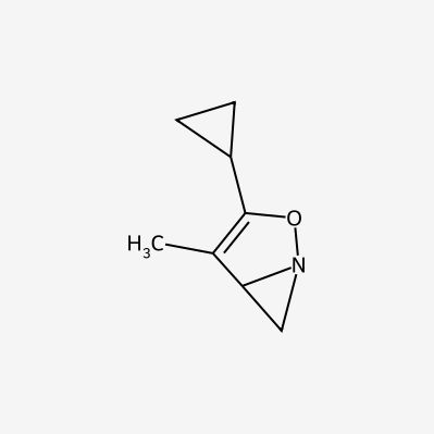 CC1=C(C2CC2)ON2CC12